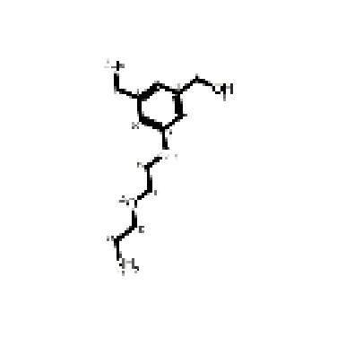 [2H]Cc1cc(CO)cc(OCCOCCN)c1